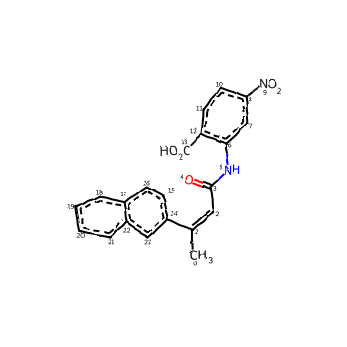 C/C(=C/C(=O)Nc1cc([N+](=O)[O-])ccc1C(=O)O)c1ccc2ccccc2c1